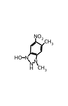 Cc1cc2c(cc1[N+](=O)[O-])N(O)NN2C